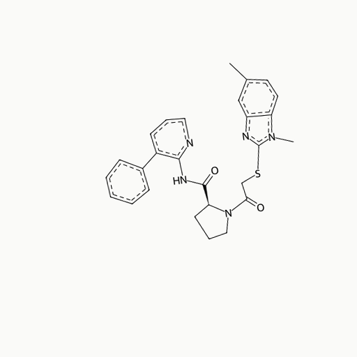 Cc1ccc2c(c1)nc(SCC(=O)N1CCC[C@H]1C(=O)Nc1ncccc1-c1ccccc1)n2C